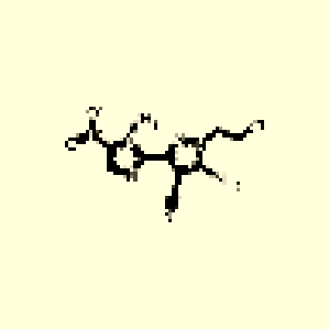 Cn1c([N+](=O)[O-])cnc1-c1nn(CCCl)c(N)c1C#N